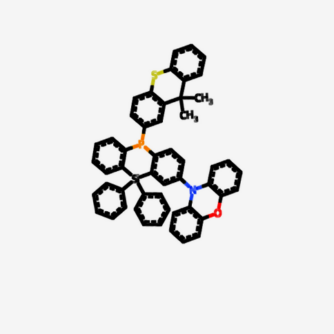 CC1(C)c2ccccc2Sc2ccc(P3c4ccccc4[Si](c4ccccc4)(c4ccccc4)c4cc(N5c6ccccc6Oc6ccccc65)ccc43)cc21